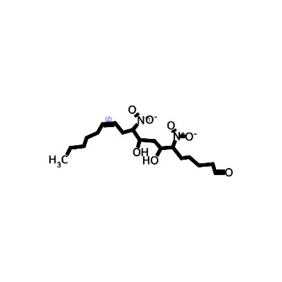 CCCCC/C=C\CC(C(O)CC(O)C(CCCCC=O)[N+](=O)[O-])[N+](=O)[O-]